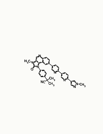 Cn1cc(-c2ccc(-c3ccc(-c4ccc5ncc6c(c5c4)n(-c4ccc(C(C)(C)C#N)cc4)c(=O)n6C)cn3)cn2)cn1